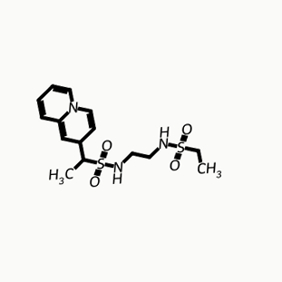 CCS(=O)(=O)NCCNS(=O)(=O)C(C)C1C=CN2C=CC=CC2=C1